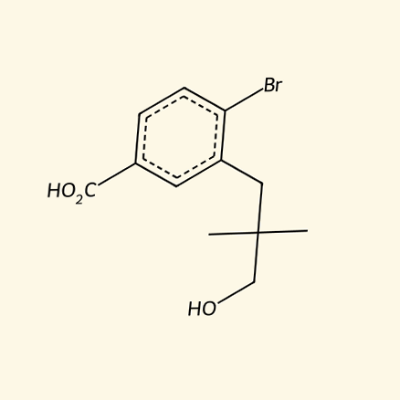 CC(C)(CO)Cc1cc(C(=O)O)ccc1Br